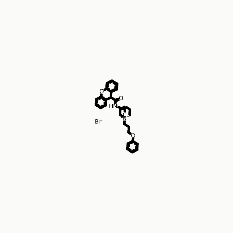 O=C(NC1C[N+]2(CCCOc3ccccc3)CCC1CC2)C1c2ccccc2Oc2ccccc21.[Br-]